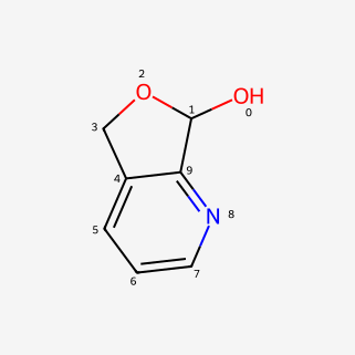 OC1OCc2cccnc21